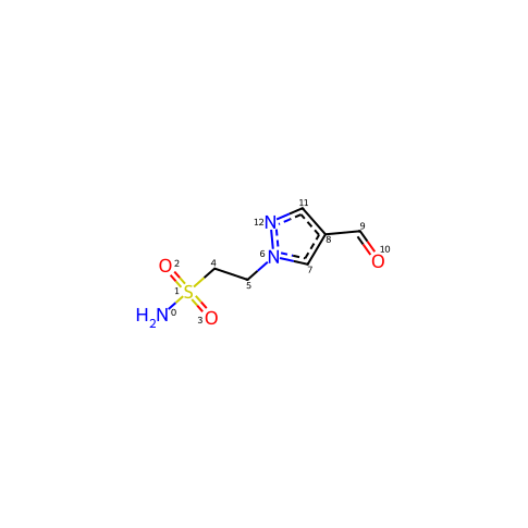 NS(=O)(=O)CCn1cc(C=O)cn1